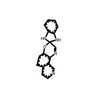 C1=Nc2c(ccc3ccncc23)OC12Nc1ccccc1N2